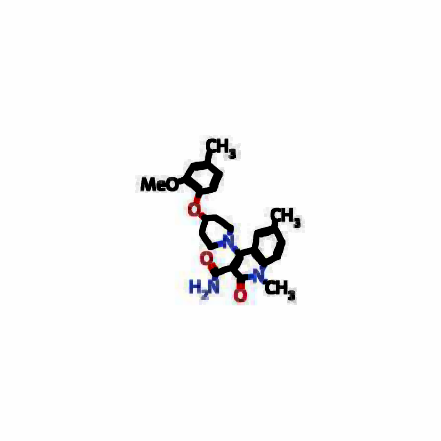 COc1cc(C)ccc1OC1CCN(c2c(C(N)=O)c(=O)n(C)c3ccc(C)cc23)CC1